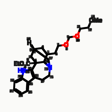 CCOC(=O)C12C[C@@H]3CC(CCOCOCCOC)C1N(CCc1c2[nH]c2ccccc12)C3